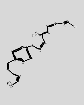 C/C=C\C=C/c1ccc(C\N=C/C(C)=C/C=N\N=C\C)cc1